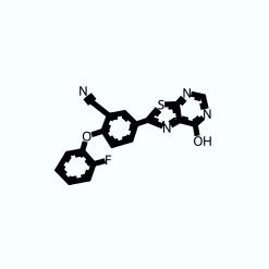 N#Cc1cc(-c2nc3c(O)ncnc3s2)ccc1Oc1ccccc1F